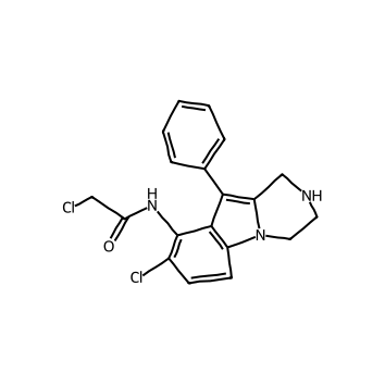 O=C(CCl)Nc1c(Cl)ccc2c1c(-c1ccccc1)c1n2CCNC1